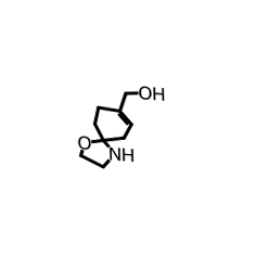 OCC1=CCC2(CC1)NCCO2